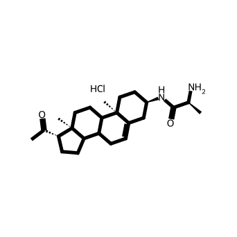 CC(=O)[C@H]1CCC2C3CC=C4C[C@H](NC(=O)[C@H](C)N)CC[C@]4(C)C3CC[C@@]21C.Cl